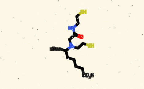 CCCCCCCCCCC(CCCCC(=O)O)N(CCS)CC(=O)NCCS